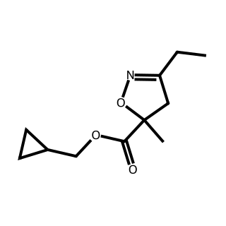 CCC1=NOC(C)(C(=O)OCC2CC2)C1